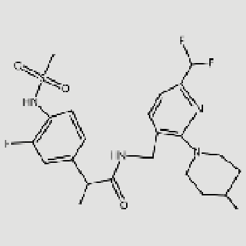 CC1CCN(c2nc(C(F)F)ccc2CNC(=O)C(C)c2ccc(NS(C)(=O)=O)c(F)c2)CC1